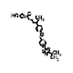 CCC(CCCC(=O)N1CC(O)C1)C1C=CC(OCC2CCN(c3nc(C(C)C)no3)CC2)=CC1